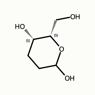 OC[C@@H]1OC(O)CC[C@@H]1O